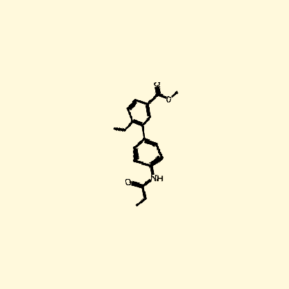 CCC(=O)Nc1ccc(-c2cc(C(=O)OC)ccc2CC)cc1